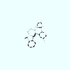 CCN(C(=O)c1cc(F)cnc1-n1nccn1)[C@@H](C)CN1C(=O)c2ccccc2C1=O